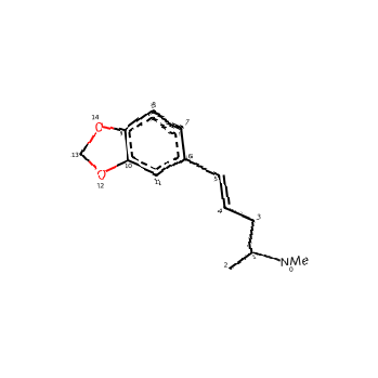 CNC(C)CC=Cc1ccc2c(c1)OCO2